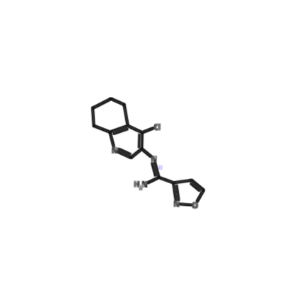 N/C(=N\c1cnc2c(c1Cl)CCCC2)c1ccon1